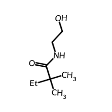 CCC(C)(C)C(=O)NCCO